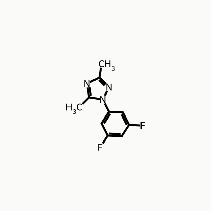 Cc1nc(C)n(-c2cc(F)cc(F)c2)n1